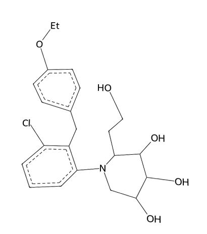 CCOc1ccc(Cc2c(Cl)cccc2N2CC(O)C(O)C(O)C2CCO)cc1